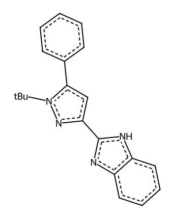 CC(C)(C)n1nc(-c2nc3ccccc3[nH]2)cc1-c1ccccc1